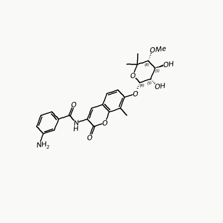 CO[C@@H]1[C@@H](O)[C@H](O)[C@H](Oc2ccc3cc(NC(=O)c4cccc(N)c4)c(=O)oc3c2C)OC1(C)C